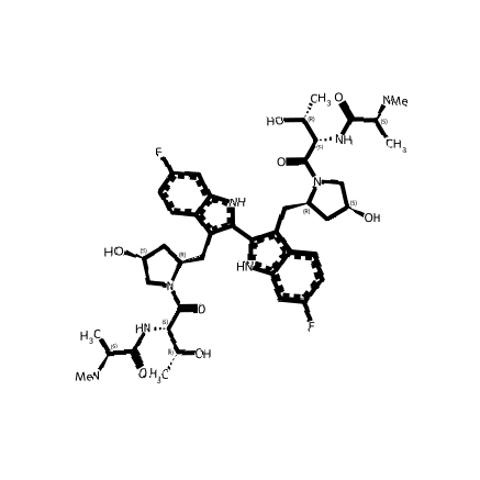 CN[C@@H](C)C(=O)N[C@H](C(=O)N1C[C@@H](O)C[C@H]1Cc1c(-c2[nH]c3cc(F)ccc3c2C[C@@H]2C[C@H](O)CN2C(=O)[C@@H](NC(=O)[C@H](C)NC)[C@@H](C)O)[nH]c2cc(F)ccc12)[C@@H](C)O